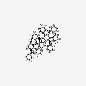 c1ccc(-n2c3ccccc3c3c4c(ccc32)Oc2cccc3c2B4c2cccc4c5c6c(c7ccccc7n6-c6ccccc6)c6c(c7ccccc7n6-c6ccccc6)c5n-3c24)cc1